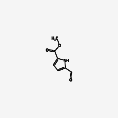 COC(=O)c1ccc(C=O)[nH]1